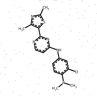 Cc1nc(C)c(-c2nccc(Nc3ccc(N(C)C)c(Cl)c3)n2)s1